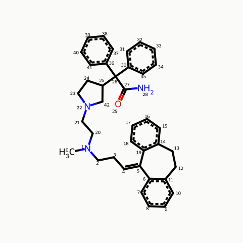 CN(CCC=C1c2ccccc2CCc2ccccc21)CCN1CCC(C(C(N)=O)(c2ccccc2)c2ccccc2)C1